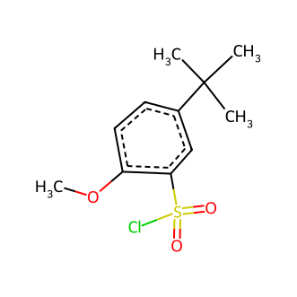 COc1ccc(C(C)(C)C)cc1S(=O)(=O)Cl